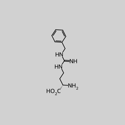 N=C(NCC[C@H](N)C(=O)O)NCc1ccccc1